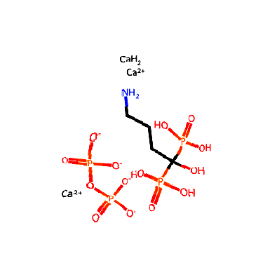 NCCCC(O)(P(=O)(O)O)P(=O)(O)O.O=P([O-])([O-])OP(=O)([O-])[O-].[Ca+2].[Ca+2].[CaH2]